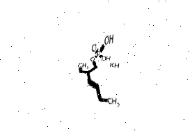 CCCCC(CC)COP(=O)(O)O.[KH]